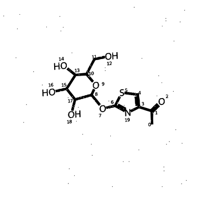 CC(=O)c1csc(OC2OC(CO)C(O)C(O)C2O)n1